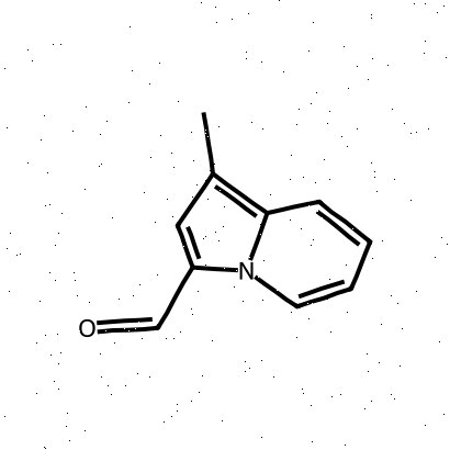 Cc1cc(C=O)n2ccccc12